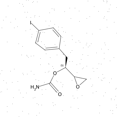 NC(=O)O[C@@H](Cc1ccc(I)cc1)C1CO1